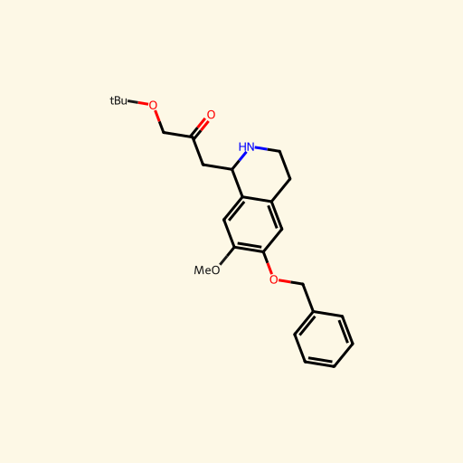 COc1cc2c(cc1OCc1ccccc1)CCNC2CC(=O)COC(C)(C)C